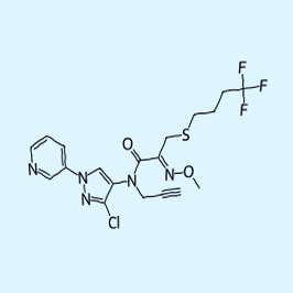 C#CCN(C(=O)C(CSCCCC(F)(F)F)=NOC)c1cn(-c2cccnc2)nc1Cl